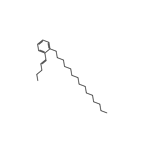 CCC/C=C/c1ccccc1CCCCCCCCCCCCCCC